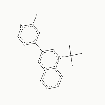 Cc1cc(-c2cc3ccccc3[n+](C(C)(C)C)c2)ccn1